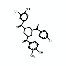 Cc1cc(C(=O)C2CC(C(=O)c3ccc(O)cc3)CC(C(=O)c3ccc(O)c(C)c3)C2)ccc1O